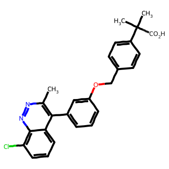 Cc1nnc2c(Cl)cccc2c1-c1cccc(OCc2ccc(C(C)(C)C(=O)O)cc2)c1